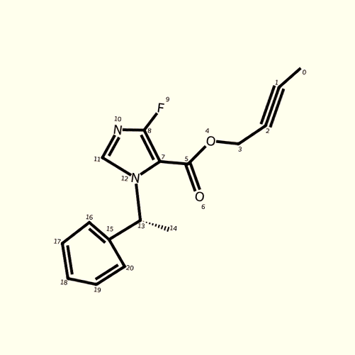 CC#CCOC(=O)c1c(F)ncn1[C@H](C)c1ccccc1